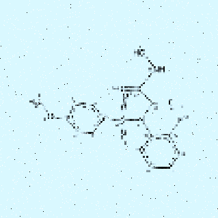 COc1ccc(S(=O)(=O)N(c2ccccc2F)C(C)C(=O)NO)cc1